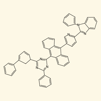 C1=CC(c2nc(-c3ccccc3)nc(-c3c4ccccc4c(-c4ccc(-c5nc6ccccc6n5-c5ccccc5)nc4)c4ccccc34)n2)CC(c2ccccc2)=C1